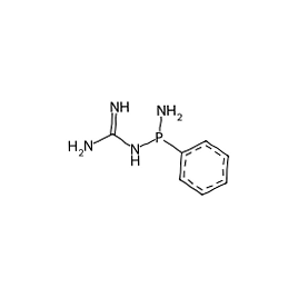 N=C(N)NP(N)c1ccccc1